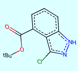 CC(C)(C)OC(=O)c1cccc2[nH]nc(Cl)c12